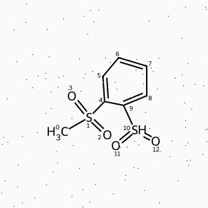 CS(=O)(=O)c1ccccc1[SH](=O)=O